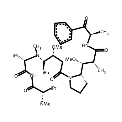 CC[C@H](C)[C@@H]([C@@H](CC(=O)N1CCC[C@H]1[C@H](OC)[C@@H](C)C(=O)N[C@H](C)C(=O)c1ccccc1)OC)N(C)[C@H](C(=O)NC(=O)[C@@H](NC)C(C)C)C(C)C